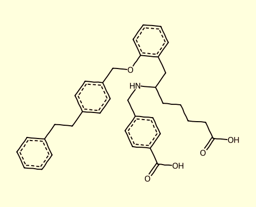 O=C(O)CCCCC(Cc1ccccc1OCc1ccc(CCc2ccccc2)cc1)NCc1ccc(C(=O)O)cc1